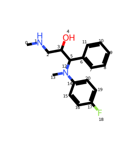 CNCC(O)C(c1ccccc1)N(C)c1ccc(F)cc1